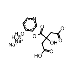 O.O.O=C([O-])CC(O)(CC(=O)O)C(=O)[O-].[Na+].[Na+].c1ccncc1